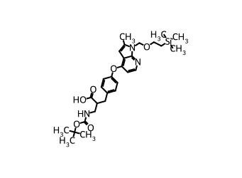 Cc1cc2c(Oc3ccc(CC(CNC(=O)OC(C)(C)C)C(=O)O)cc3)ccnc2n1COCC[Si](C)(C)C